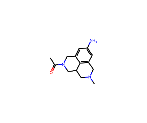 CC(=O)N1Cc2cc(N)cc3c2C(CN(C)C3)C1